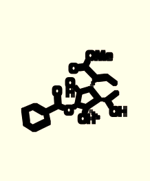 C/C=C(/C(=O)OC)[C@H]1[C@H](O)[C@H](OC(=O)c2ccccc2)[C@](C)(O)[C@H]1C(C)O